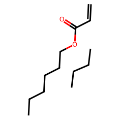 C=CC(=O)OCCCCCC.CCCC